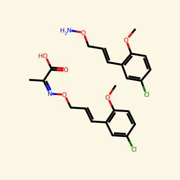 COc1ccc(Cl)cc1C=CCON.COc1ccc(Cl)cc1C=CCON=C(C)C(=O)O